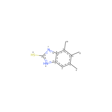 Cc1cc2[nH]c(S)nc2c(C)c1C